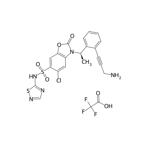 C[C@H](c1ccccc1C#CCN)n1c(=O)oc2cc(S(=O)(=O)Nc3ncns3)c(Cl)cc21.O=C(O)C(F)(F)F